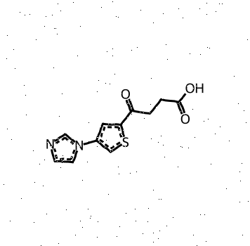 O=C(O)CCC(=O)c1cc(-n2ccnc2)cs1